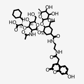 CCC1CC(C(=O)NCCNC(=O)Cc2cc(=O)oc3cc(O)ccc23)C[C@@H](O[C@@H]2OC(CO)[C@H](O)C(O[C@@H](CC3CCCCC3)C(=O)O)C2NC(C)=O)C1OC1O[C@@H](C)C(O)C(O)[C@@H]1O